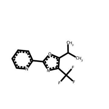 CC(C)c1oc(-c2ccccn2)nc1C(F)(F)F